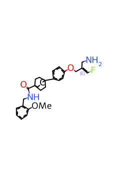 COc1ccccc1CNC(=O)C12CCC(c3ccc(OC/C(=C/F)CN)cc3)(CC1)CC2